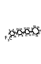 FC(F)(F)c1cccc(-c2ccc(-c3ccc(/C4=C/C=C\C=C/CC4)cc3)cc2)c1